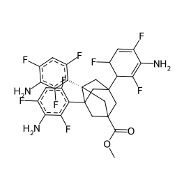 COC(=O)C12CC3(C4C(F)=C(N)C(F)=CC4F)CC(c4c(F)cc(F)c(N)c4F)(C1)[C@](c1c(F)cc(F)c(N)c1F)(C2)C3